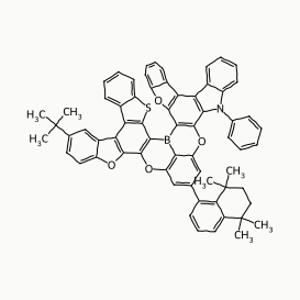 CC(C)(C)c1ccc2oc3c4c(c5sc6ccccc6c5c3c2c1)B1c2c(cc(-c3cccc5c3C(C)(C)CCC5(C)C)cc2Oc2c1c1oc3ccccc3c1c1c3ccccc3n(-c3ccccc3)c21)O4